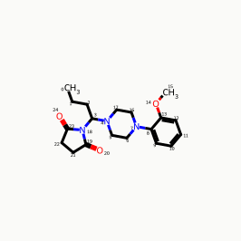 CCCC(N1CCN(c2ccccc2OC)CC1)N1C(=O)CCC1=O